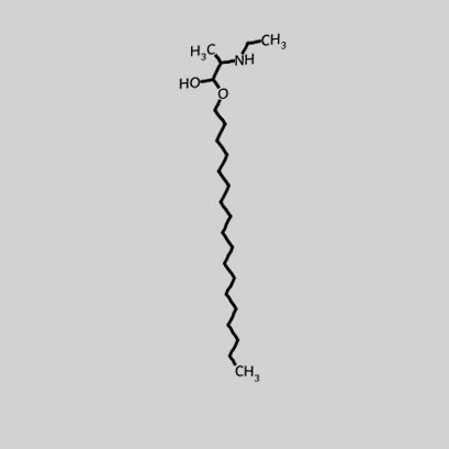 CCCCCCCCCCCCCCCCCCOC(O)C(C)NCC